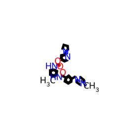 Cc1ccc(NC(=O)Oc2ccnc(N3CCCC3)c2)cc1NC(=O)c1cccc(CN2CCN(C)CC2)c1